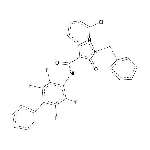 O=C(Nc1c(F)c(F)c(-c2ccccc2)c(F)c1F)c1c(=O)n(Cc2ccccc2)n2c(Cl)cccc12